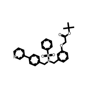 CC(C)(C)OC(=O)COc1cccc(CN(Cc2ccc(-c3cccnc3)cc2)S(=O)(=O)c2ccccc2)c1